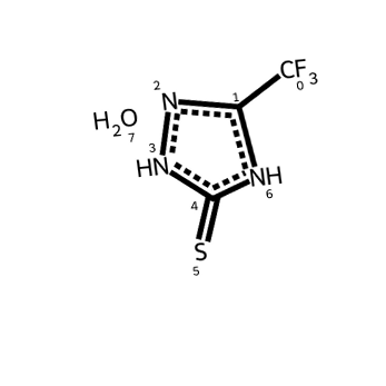 FC(F)(F)c1n[nH]c(=S)[nH]1.O